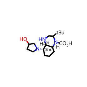 CC(C)(C)C1CN[C@@H]2[C@@H](N3CCC(O)C3)CCC[C@@H]2N1C(=O)O